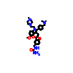 COc1ccc2c(c1)c(C=C1Oc3ccc(CNC(N)=O)cc3C1=O)c(-c1ccc(CN(C)C)cc1)n2CCN1CCN(C)CC1